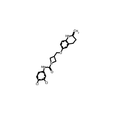 C=C1CCc2cc(OCC3CN(C(=O)Nc4ccc(Cl)c(Cl)c4)C3)ccc2N1